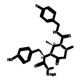 CCCCCCCN(C)C(=O)[C@H](Cc1ccc(O)cc1)N1C(=O)CN(C)N(C(=O)NCc2ccc(F)cc2)[C@H]1C